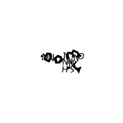 Cc1nc(Cn2c(=O)ccc3cnc(Nc4ccc(N5CCN(C)CC5)cc4)nc32)c(C2CC2)s1